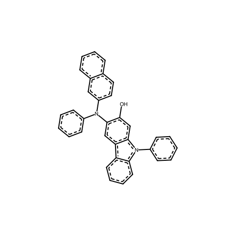 Oc1cc2c(cc1N(c1ccccc1)c1ccc3ccccc3c1)c1ccccc1n2-c1ccccc1